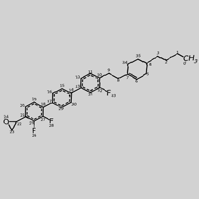 CCCCC1CC=C(CCc2ccc(-c3ccc(-c4ccc(C5CO5)c(F)c4F)cc3)cc2F)CC1